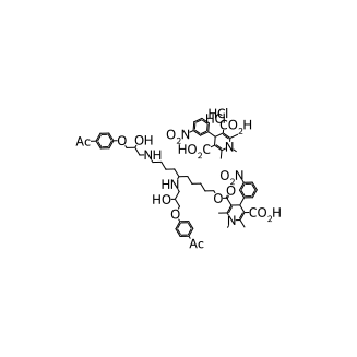 CC(=O)c1ccc(OCC(O)CNCCCCC(CCCCCOC(=O)C2=C(C)N(C)C(C)=C(C(=O)O)C2c2cccc([N+](=O)[O-])c2)NCC(O)COc2ccc(C(C)=O)cc2)cc1.CC1=C(C(=O)O)C(c2cccc([N+](=O)[O-])c2)C(C(=O)O)=C(C)N1C.Cl.Cl